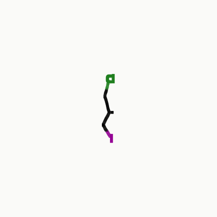 ClC[CH]CI